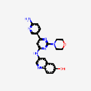 Nc1ccc(-c2cc(Nc3cnc4ccc(O)cc4c3)nc(N3CCOCC3)n2)cn1